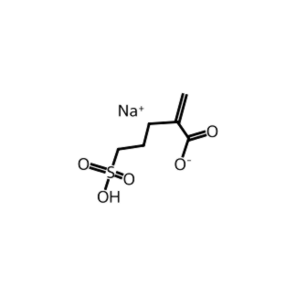 C=C(CCCS(=O)(=O)O)C(=O)[O-].[Na+]